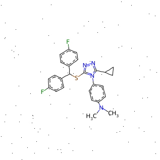 CN(C)c1ccc(-n2c(SC(c3ccc(F)cc3)c3ccc(F)cc3)nnc2C2CC2)cc1